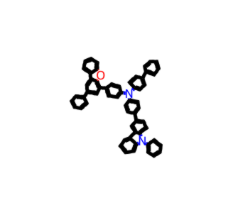 c1ccc(-c2ccc(N(c3ccc(-c4ccc5c(c4)c4ccccc4n5-c4ccccc4)cc3)c3ccc(-c4cc(-c5ccccc5)cc5c4oc4ccccc45)cc3)cc2)cc1